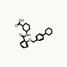 O=C(NC1CCCC(C(=O)O)C1)c1ccccc1OCc1ccc(C2CCCCC2)cc1